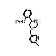 Cc1ccc(CN2CCNC(c3ccccc3OC(C)C)C2)cn1